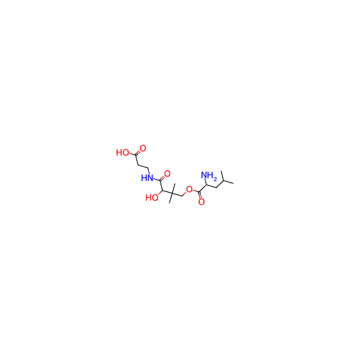 CC(C)CC(N)C(=O)OCC(C)(C)C(O)C(=O)NCCC(=O)O